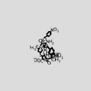 C[C@@H](O)[C@H]1C(=O)N2C(C(=O)[O-])=C(S[C@H]3C[C@H](C)[N+](CN(C(N)=O)C(=O)OCc4ccc([N+](=O)[O-])cc4)(C(=O)OCc4ccc([N+](=O)[O-])cc4)C3)[C@H](C)[C@H]12